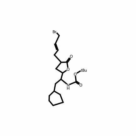 CC(C)(C)OC(=O)NC(CC1CCCCC1)C1CC(CC=CCBr)C(=O)O1